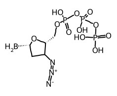 B[C@H]1CC(N=[N+]=[N-])[C@@H](COP(=O)(O)OP(=O)(O)OP(=O)(O)O)O1